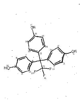 Oc1ccc(C(c2ccc(O)cc2)(c2ccc(O)cc2)C(F)(F)F)cc1